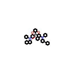 C1=CC2C(N(c3ccccc3)c3cccc4ccccc34)=CC3=C(B4c5c(cccc5Oc5cc(N(c6ccccc6)c6cccc(-c7ccccc7)c6)c6ccccc6c54)O3)C2C=C1